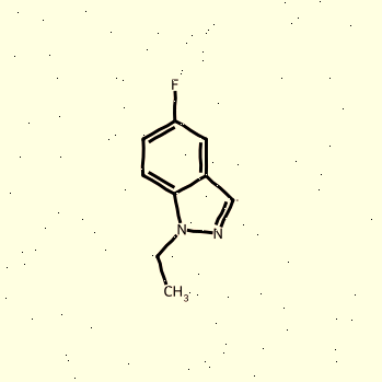 CCn1n[c]c2cc(F)ccc21